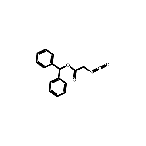 O=C=NCC(=O)OC(c1ccccc1)c1ccccc1